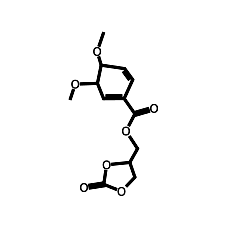 COC1C=CC(C(=O)OCC2COC(=O)O2)=CC1OC